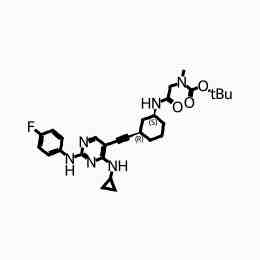 CN(CC(=O)N[C@H]1CCC[C@@H](C#Cc2cnc(Nc3ccc(F)cc3)nc2NC2CC2)C1)C(=O)OC(C)(C)C